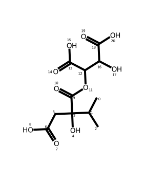 CC(C)C(O)(CC(=O)O)C(=O)OC(C(=O)O)C(O)C(=O)O